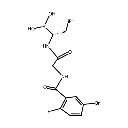 CC(C)C[C@H](NC(=O)CNC(=O)c1cc(Br)ccc1F)B(O)O